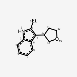 CCc1[nH]c2ccccc2c1C1CCOC1